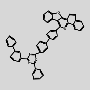 c1ccc(-c2cccc(-c3nc(-c4ccccc4)nc(-c4ccc(-c5ccc(-c6nc7c8ccccc8ccc7c7oc8ccccc8c67)cc5)cc4)n3)c2)cc1